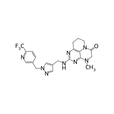 CN1CC(=O)N2CCCc3nc(NCc4cnn(Cc5ccc(C(F)(F)F)nc5)c4)nc1c32